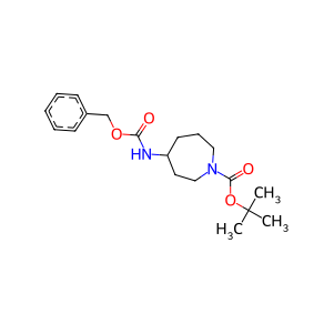 CC(C)(C)OC(=O)N1CCCC(NC(=O)OCc2ccccc2)CC1